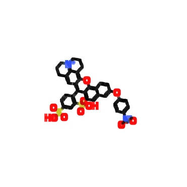 O=[N+]([O-])c1ccc(Oc2ccc3c4c(ccc3c2)C(c2ccc(S(=O)(=O)O)cc2S(=O)(=O)O)=c2cc3c5c(c2O4)CCC[N+]=5CCC3)cc1